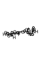 Cc1c(OCCC[C@@H]2CCN(CC(=O)Nc3cccc4c(C5CCC(=O)NC5=O)nn(C)c34)CC2(F)F)cccc1-c1ccc(N2CCc3cccc(C(=O)Nc4nc5ccccc5s4)c3C2)nc1C(=O)OC(C)(C)C